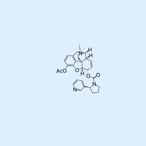 CC(=O)Oc1ccc2c3c1O[C@H]1[C@@H](OC(=O)N4CCC[C@H]4c4cccnc4)C=C[C@H]4[C@@H](C2)N(C)CC[C@@]341